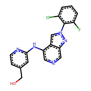 OCc1ccnc(Nc2cncc3nn(-c4c(F)cccc4Cl)cc23)c1